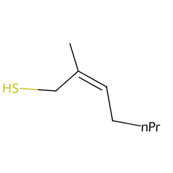 CCCCC=C(C)CS